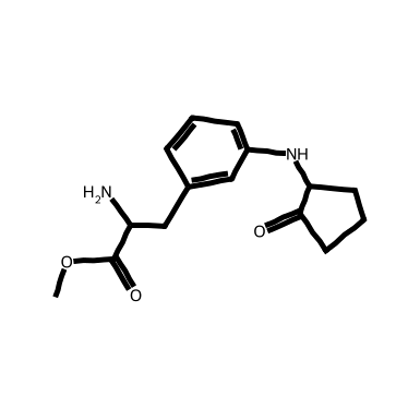 COC(=O)C(N)Cc1cccc(NC2CCCC2=O)c1